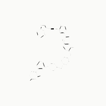 Cc1ccc(C(=O)Nc2ccc(CN3CCN(CC4CCN(c5cccc(C6CCC(=O)NC6=O)c5)CC4)CC3)c(C(F)(F)F)c2)cc1C#Cc1cnc2cccnn12